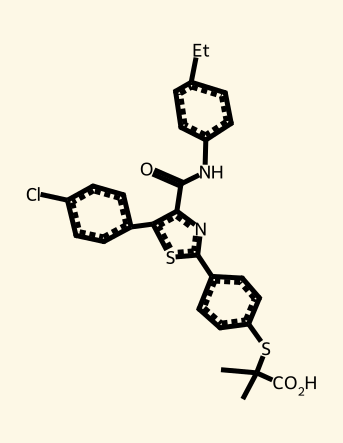 CCc1ccc(NC(=O)c2nc(-c3ccc(SC(C)(C)C(=O)O)cc3)sc2-c2ccc(Cl)cc2)cc1